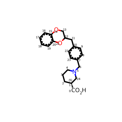 O=C(O)[C@H]1CCCN(Cc2ccc(CC3COc4ccccc4O3)cc2)C1